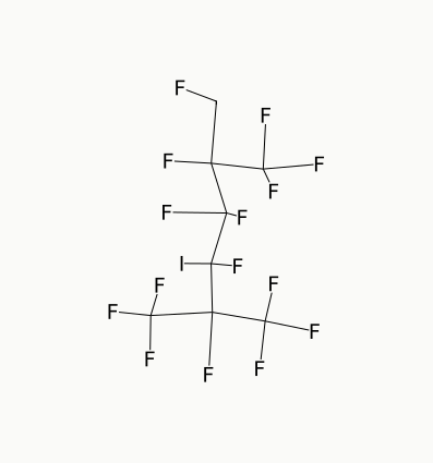 FCC(F)(C(F)(F)F)C(F)(F)C(F)(I)C(F)(C(F)(F)F)C(F)(F)F